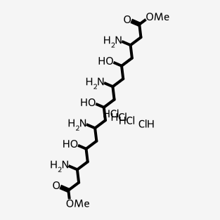 COC(=O)CC(N)CC(O)CC(N)CC(O)CC(N)CC(O)CC(N)CC(=O)OC.Cl.Cl.Cl.Cl